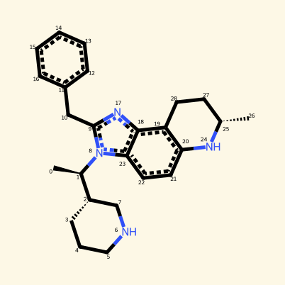 C[C@H]([C@H]1CCCNC1)n1c(Cc2ccccc2)nc2c3c(ccc21)N[C@@H](C)CC3